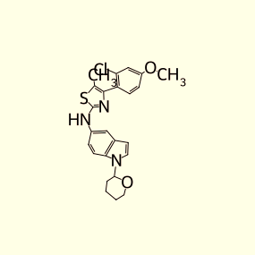 COc1ccc(-c2nc(Nc3ccc4c(ccn4C4CCCCO4)c3)sc2C)c(Cl)c1